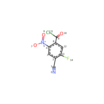 N#Cc1cc([N+](=O)[O-])c(C(=O)Cl)cc1F